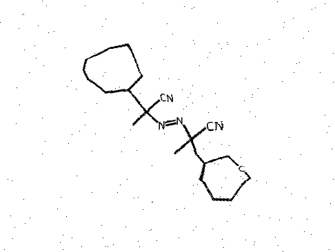 CC(C#N)(N=NC(C)(C#N)C1CCCCCC1)C1CCCCCC1